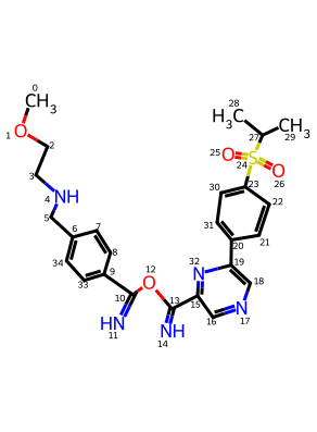 COCCNCc1ccc(C(=N)OC(=N)c2cncc(-c3ccc(S(=O)(=O)C(C)C)cc3)n2)cc1